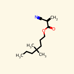 C=C(C#N)C(=O)OCCCC(C)(C)CCC